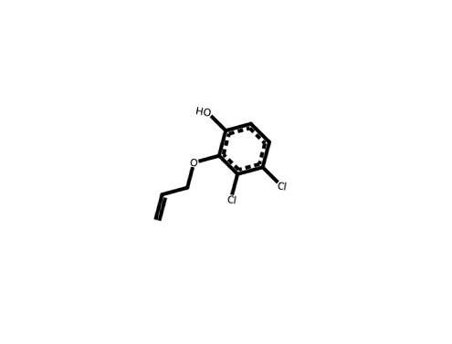 C=CCOc1c(O)ccc(Cl)c1Cl